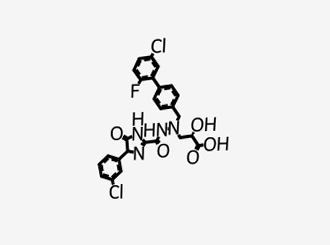 O=C(NN(Cc1ccc(-c2cc(Cl)ccc2F)cc1)C[C@@H](O)C(=O)O)C1=NC(c2cccc(Cl)c2)C(=O)N1